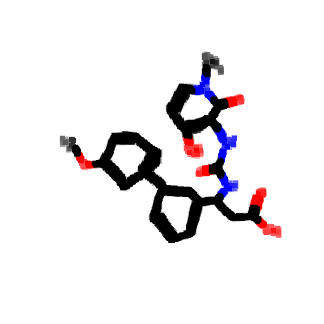 COc1cccc(-c2cccc(C(CC(=O)O)NC(=O)Nc3c(O)ccn(C)c3=O)c2)c1